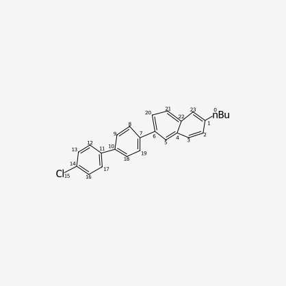 CCCCc1ccc2cc(-c3ccc(-c4ccc(Cl)cc4)cc3)ccc2c1